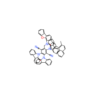 Cc1ccc2ccccc2c1-c1ccc2c(c1)c1ccc3c4ccccc4oc3c1n2Cc1c(C#N)c(-n2c3ccccc3c3ccccc32)c(-n2c3ccccc3c3ccccc32)c(C#N)c1-n1c2ccccc2c2ccccc21